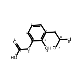 O=C(O)Oc1cccc(CC(Cl)Cl)c1O